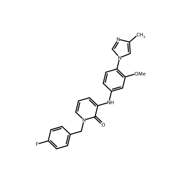 COc1cc(Nc2cccn(Cc3ccc(F)cc3)c2=O)ccc1-n1cnc(C)c1